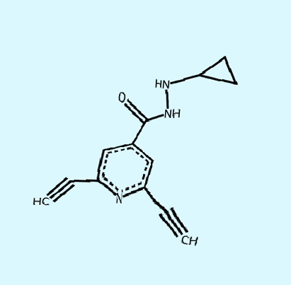 C#Cc1cc(C(=O)NNC2CC2)cc(C#C)n1